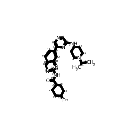 CC(C)N1CCC(Nc2cncc(-c3ccc4cnc(NC(=O)C5CCC(F)CC5)nc4c3)n2)CC1